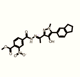 COC(=O)c1ccc(C(=O)N/N=C(\C)c2nn(C)c(-c3ccc4c(c3)CCC4)c2O)cc1[N+](=O)[O-]